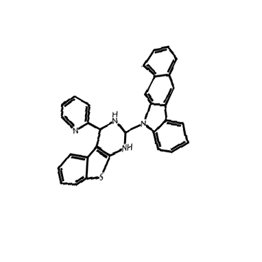 c1ccc(C2NC(n3c4ccccc4c4cc5ccccc5cc43)Nc3sc4ccccc4c32)nc1